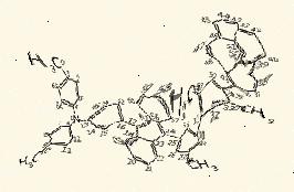 Cc1ccc(N(c2ccc(C)cc2)c2ccc(-c3c4ccccc4c(-c4cc(C)cc(-c5cc(C)c(-c6ccc7ccc8cccc9ccc6c7c89)cc5C)c4)c4ccccc34)cc2)cc1